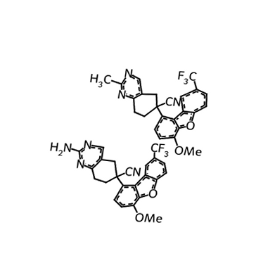 COc1ccc(C2(C#N)CCc3nc(C)ncc3C2)c2c1oc1ccc(C(F)(F)F)cc12.COc1ccc(C2(C#N)CCc3nc(N)ncc3C2)c2c1oc1ccc(C(F)(F)F)cc12